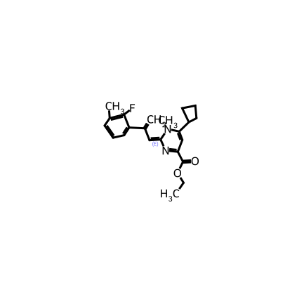 C=C(/C=C1/N=C(C(=O)OCC)C=C(C2CCC2)N1C)c1cccc(C)c1F